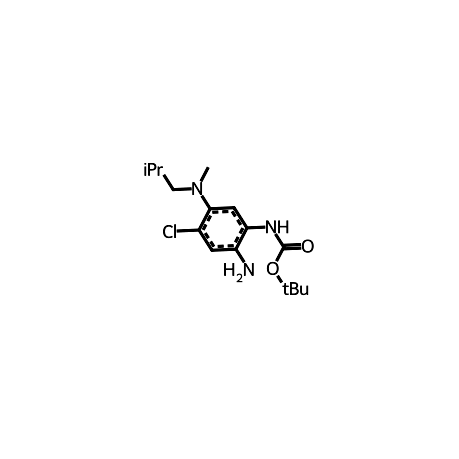 CC(C)CN(C)c1cc(NC(=O)OC(C)(C)C)c(N)cc1Cl